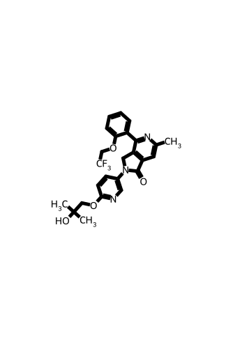 Cc1cc2c(c(-c3ccccc3OCC(F)(F)F)n1)CN(c1ccc(OCC(C)(C)O)nc1)C2=O